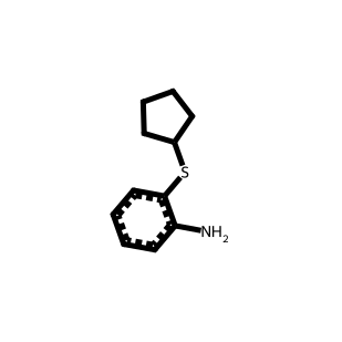 Nc1ccccc1SC1CCCC1